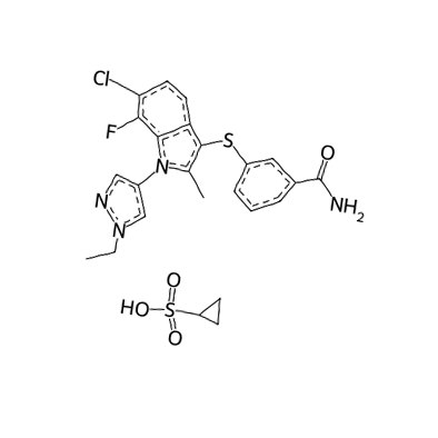 CCn1cc(-n2c(C)c(Sc3cccc(C(N)=O)c3)c3ccc(Cl)c(F)c32)cn1.O=S(=O)(O)C1CC1